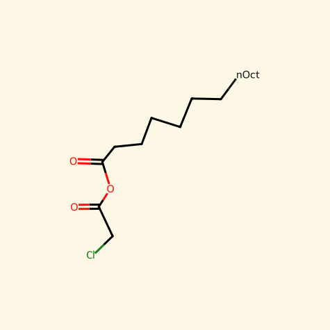 CCCCCCCCCCCCCCC(=O)OC(=O)CCl